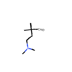 CN(C)CCC(C)(C)C=O